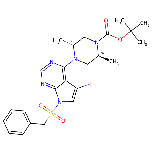 C[C@@H]1CN(C(=O)OC(C)(C)C)[C@@H](C)CN1c1ncnc2c1c(I)cn2S(=O)(=O)Cc1ccccc1